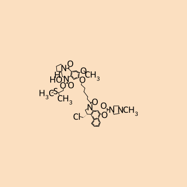 COc1cc2c(cc1OCCCCCC(=O)N1C[C@@H](CCl)c3c1cc(OC(=O)N1CCN(C)CC1)c1ccccc31)N(C(=O)OCC(C)SC)C(O)[C@@H]1CCCN1C2=O